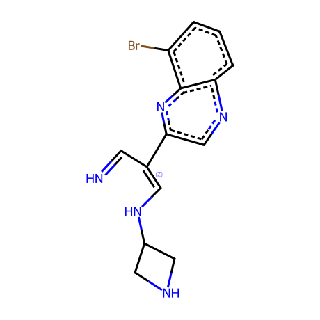 N=C/C(=C\NC1CNC1)c1cnc2cccc(Br)c2n1